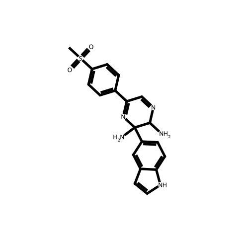 CS(=O)(=O)c1ccc(C2=NC(N)(c3ccc4[nH]ccc4c3)C(N)N=C2)cc1